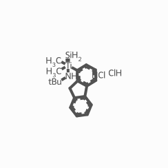 CC(C)(C)[NH][Ti]([CH3])([CH3])(=[SiH2])[c]1cccc2c1Cc1ccccc1-2.Cl.Cl